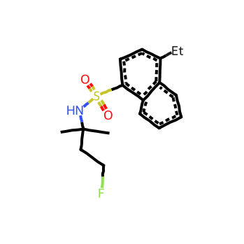 CCc1ccc(S(=O)(=O)NC(C)(C)CCF)c2ccccc12